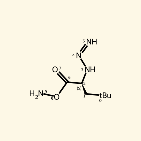 CC(C)(C)C[C@H](NN=N)C(=O)ON